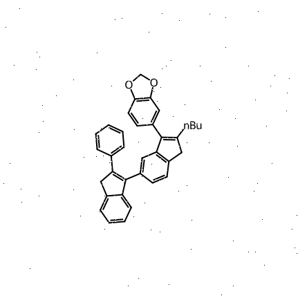 CCCCC1=C(c2ccc3c(c2)OCO3)c2cc(C3=C(c4ccccc4)Cc4ccccc43)ccc2C1